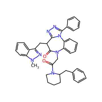 Cn1nc(CC2C(=O)N(CC(=O)N3CCCCC3Cc3ccccc3)c3ccccc3-n3c(-c4ccccc4)nnc32)c2ccccc21